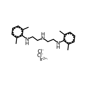 Cc1cccc(C)c1NCCNCCNc1c(C)cccc1C.[Cl-].[Cl-].[Ir+2]